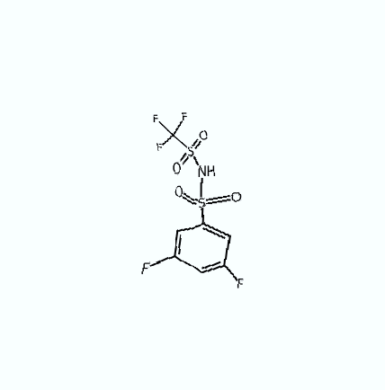 O=S(=O)(NS(=O)(=O)C(F)(F)F)c1cc(F)cc(F)c1